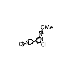 COC1CN(c2cc(C3CCN(C4COC4)CC3)cc(Cl)n2)C1